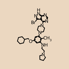 Cc1c(NCCN2CCCC2)cc(OCC2CCCCC2)cc1N1CCN(c2ncnc3[nH]nc(Br)c23)CC1